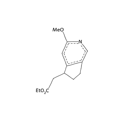 CCOC(=O)CC1CCc2cnc(OC)cc21